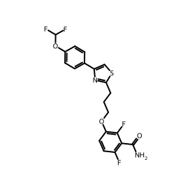 NC(=O)c1c(F)ccc(OCCCc2nc(-c3ccc(OC(F)F)cc3)cs2)c1F